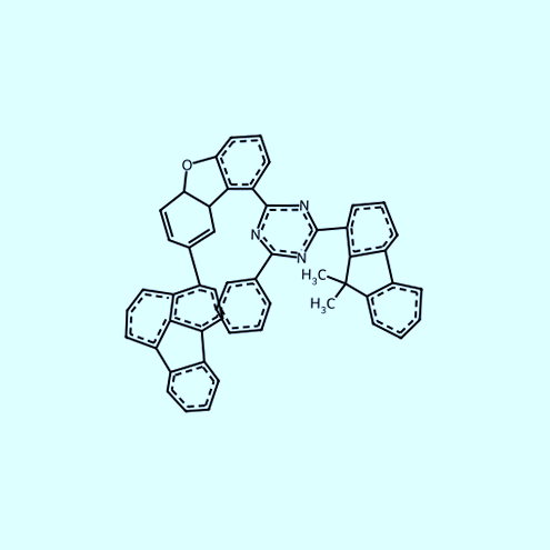 CC1(C)c2ccccc2-c2cccc(-c3nc(-c4ccccc4)nc(-c4cccc5c4C4C=C(c6ccc7c8c(cccc68)-c6ccccc6-7)C=CC4O5)n3)c21